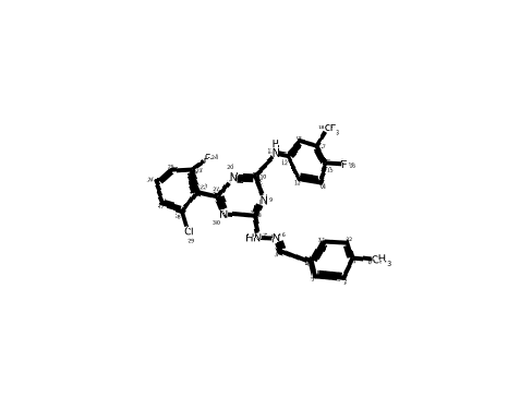 Cc1ccc(C=NNc2nc(Nc3ccc(F)c(C(F)(F)F)c3)nc(-c3c(F)cccc3Cl)n2)cc1